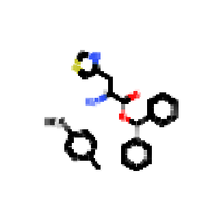 Cc1ccc(S(=O)(=O)O)cc1.N[C@@H](Cc1cscn1)C(=O)OC(c1ccccc1)c1ccccc1